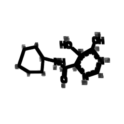 O=C(NC1CCCCC1)c1ncnc(O)c1O